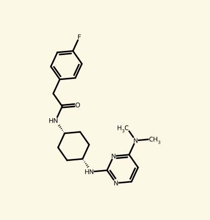 CN(C)c1ccnc(N[C@H]2CC[C@@H](NC(=O)Cc3ccc(F)cc3)CC2)n1